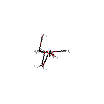 CCCCCCCCCCCCCCCCCc1c(C)sc2c1sc1c3sc(-c4ccc(C5=C6C(=O)N(CCCCCCCCCCCCCCCC)C(c7ccc(C)s7)=C6C(=O)N5CCCCCCCCCCCCCCCC)s4)c(CCCCCCCCCCCCCCCCC)c3sc21